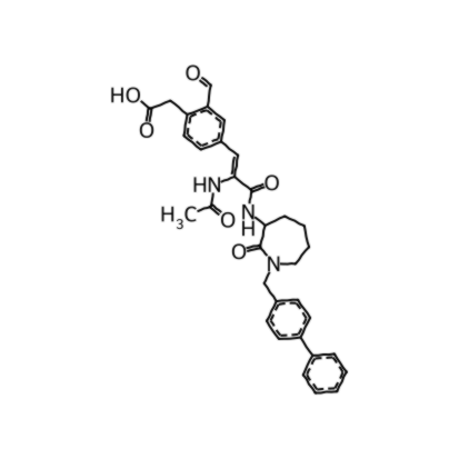 CC(=O)N/C(=C\c1ccc(CC(=O)O)c(C=O)c1)C(=O)NC1CCCCN(Cc2ccc(-c3ccccc3)cc2)C1=O